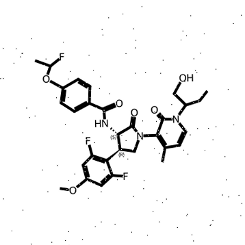 CCC(CO)n1ccc(C)c(N2C[C@@H](c3c(F)cc(OC)cc3F)[C@H](NC(=O)c3ccc(OC(C)F)cc3)C2=O)c1=O